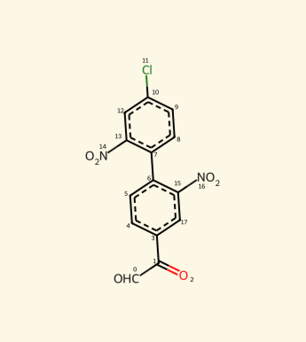 O=CC(=O)c1ccc(-c2ccc(Cl)cc2[N+](=O)[O-])c([N+](=O)[O-])c1